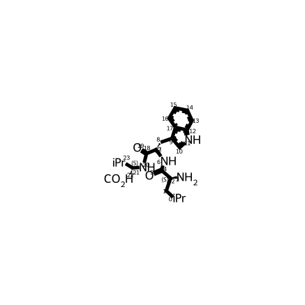 CC(C)C[C@H](N)C(=O)N[C@@H](Cc1c[nH]c2ccccc12)C(=O)N[C@H](C(=O)O)C(C)C